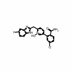 NC(=O)c1ccc(Cl)cc1-c1ccc(Cc2nc3cc(F)ccc3[nH]2)[n+](O)c1